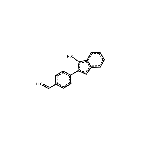 C=Cc1ccc(-c2nc3ccccc3n2C)cc1